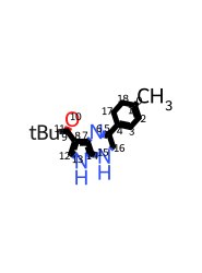 CC1=CC=C(C2=Nc3c(C(=O)C(C)(C)C)c[nH]c3NC2)CC1